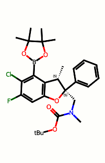 C[C@H]1c2c(cc(F)c(Cl)c2B2OC(C)(C)C(C)(C)O2)O[C@]1(CN(C)C(=O)OC(C)(C)C)c1ccccc1